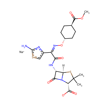 COC(=O)[C@H]1CC[C@H](O/N=C(\C(=O)N[C@H]2C(=O)N3[C@@H]2SC(C)(C)[C@@H]3C(=O)[O-])c2csc(N)n2)CC1.[Na+]